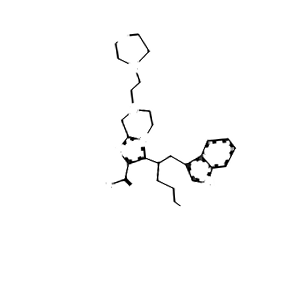 CCCCC(Cc1c[nH]c2ccccc12)c1c(C(N)=O)nc2n1CCN(CCN1CCOCC1)C2